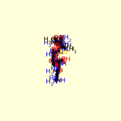 CC[C@H](C)[C@H](NC(=O)[C@H](CS)NC(=O)[C@H](CO)NC(=O)CNC(=O)[C@@H]1CCCN1C(=O)[C@H](CC(=O)O)NC(=O)CNC(=O)[C@@H](N)CCCNC(=N)N)C(=O)N[C@@H](CC(N)=O)C(=O)N[C@H](C(N)=O)[C@@H](C)O